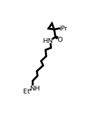 CCNCCCCCCCCNC(=O)C1(C(C)C)CC1